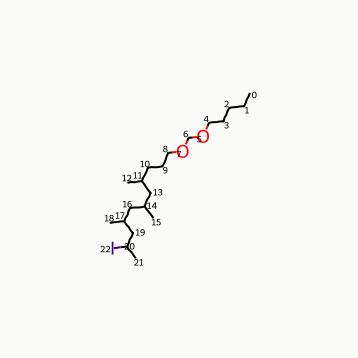 CCCCCOCOCCCC(C)CC(C)CC(C)CC(C)I